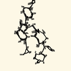 O=C(C1CCOCC1)N1CCN(Cc2c(-c3ccc(Cl)cc3)nc3ccc(C4CC4)cn23)CC1